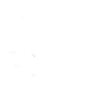 NC(=O)NC1(C(=O)O)CC(Cl)CC1c1ccc(F)cc1-c1ccccc1